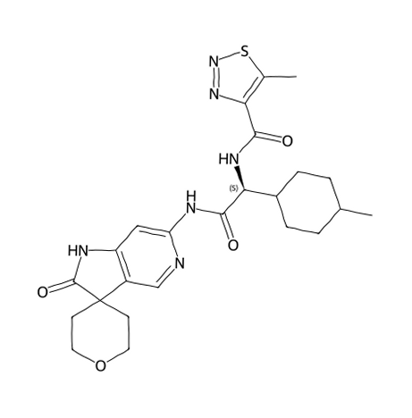 Cc1snnc1C(=O)N[C@H](C(=O)Nc1cc2c(cn1)C1(CCOCC1)C(=O)N2)C1CCC(C)CC1